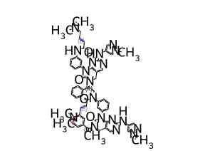 C[C@H](c1ccccc1)N1Cc2cnc(Nc3cnn(C)c3)nc2N(c2cccc(N(C[C@@H](c3ccccc3)N3Cc4cnc(Nc5cnn(C)c5)nc4N(c4cccc(NC(=O)/C=C/CN(C)C)c4)C3=O)C(=O)/C=C/CN(C)C)c2)C1=O